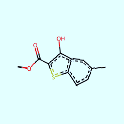 COC(=O)c1sc2ccc(C)cc2c1O